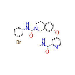 CNC(=O)c1cc(Oc2ccc3c(c2)CN(C(=O)Nc2cccc(Br)c2)CC3)ccn1